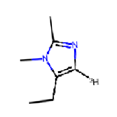 [2H]c1nc(C)n(C)c1CC